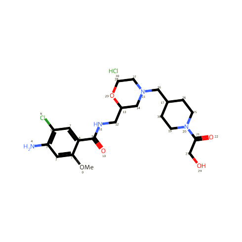 COc1cc(N)c(Cl)cc1C(=O)NCC1CN(CC2CCN(C(=O)CO)CC2)CCO1.Cl